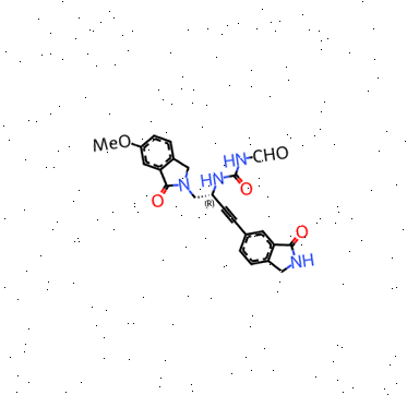 COc1ccc2c(c1)C(=O)N(C[C@@H](C#Cc1ccc3c(c1)C(=O)NC3)NC(=O)NC=O)C2